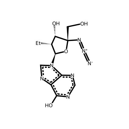 CC[C@H]1[C@H](n2cnc3c(O)ncnc32)O[C@@](CO)(N=[N+]=[N-])[C@H]1O